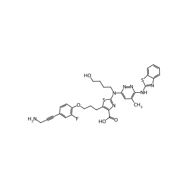 Cc1cc(N(CCCCO)c2nc(C(=O)O)c(CCCOc3ccc(C#CCN)cc3F)s2)nnc1Nc1nc2ccccc2s1